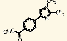 Cn1cc(-c2ccc(C(=O)C=O)cc2)nc1C(F)(F)F